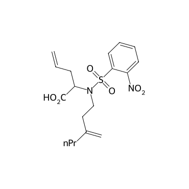 C=CCC(C(=O)O)N(CCC(=C)CCC)S(=O)(=O)c1ccccc1[N+](=O)[O-]